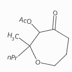 CCCC1(C)OCCCC(=O)C1OC(C)=O